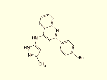 Cc1cc(Nc2nc(-c3ccc(C(C)(C)C)cc3)nc3ccccc23)[nH]n1